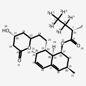 [2H]C([2H])([2H])C([2H])([2H])[C@H](C)C(=O)O[C@H]1C[C@@H](C)C=C2C=C[C@H](C)[C@H](CCC3C[C@@H](O)CC(=O)O3)[C@H]21